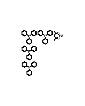 CC(=O)CC(C)=O.[Pd].c1ccc(P(c2ccccc2)c2ccccc2)cc1.c1ccc(P(c2ccccc2)c2ccccc2)cc1.c1ccc(P(c2ccccc2)c2ccccc2)cc1.c1ccc(P(c2ccccc2)c2ccccc2)cc1